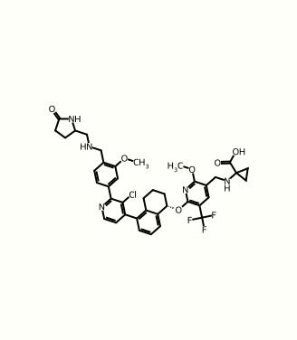 COc1cc(-c2nccc(-c3cccc4c3CCC[C@@H]4Oc3nc(OC)c(CNC4(C(=O)O)CC4)cc3C(F)(F)F)c2Cl)ccc1CNCC1CCC(=O)N1